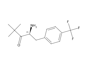 CC(C)(C)C(=O)[C@@H](N)Cc1ccc(C(F)(F)F)cc1